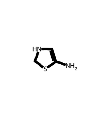 NC1=CNCS1